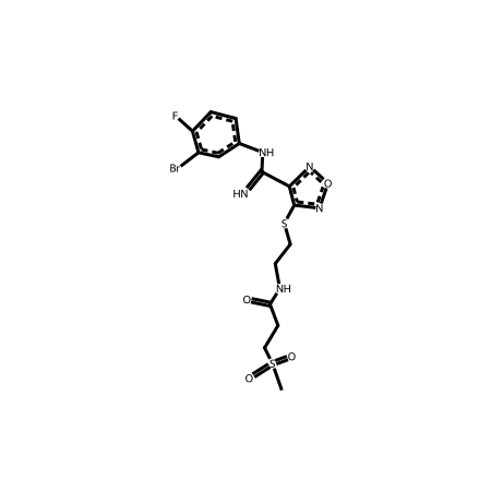 CS(=O)(=O)CCC(=O)NCCSc1nonc1C(=N)Nc1ccc(F)c(Br)c1